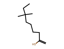 C=C(S)CCCCC(C)(C)CC